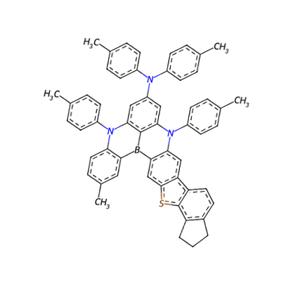 Cc1ccc(N(c2ccc(C)cc2)c2cc3c4c(c2)N(c2ccc(C)cc2)c2cc5c(cc2B4c2cc(C)ccc2N3c2ccc(C)cc2)sc2c3c(ccc25)CCC3)cc1